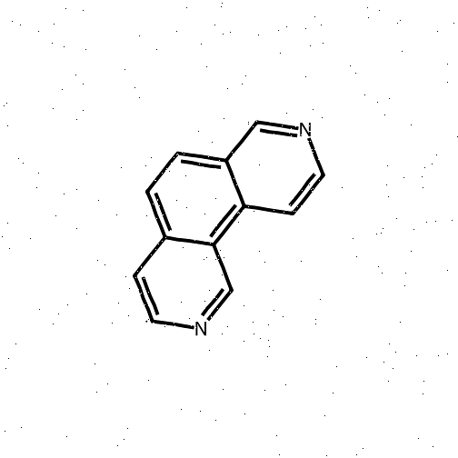 [c]1cc2ccc3cnccc3c2cn1